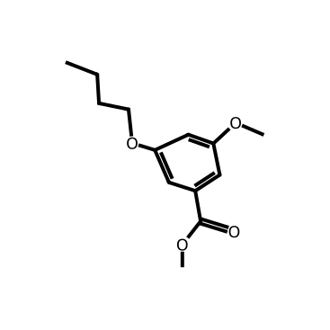 CCCCOc1cc(OC)cc(C(=O)OC)c1